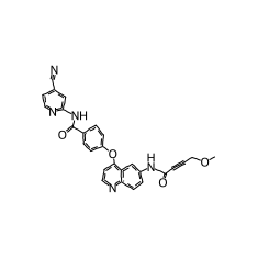 COCC#CC(=O)Nc1ccc2nccc(Oc3ccc(C(=O)Nc4cc(C#N)ccn4)cc3)c2c1